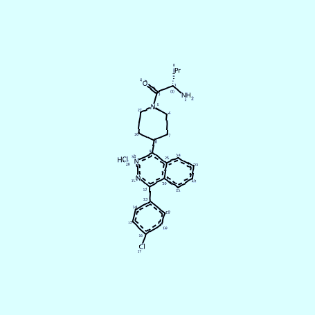 CC(C)[C@H](N)C(=O)N1CCC(c2nnc(-c3ccc(Cl)cc3)c3ccccc23)CC1.Cl